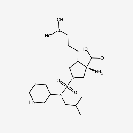 CC(C)CN(C1CCCNC1)S(=O)(=O)N1C[C@H](CCCB(O)O)[C@](N)(C(=O)O)C1